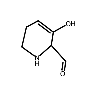 O=CC1NCCC=C1O